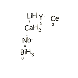 [BiH3].[CaH2].[Ce].[LiH].[Nb].[Y]